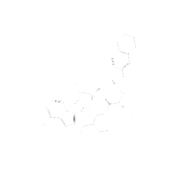 CCC(CC)COC(=O)[C@H](C)NP(=O)(OC[C@H]1O[C@@](C)(c2ccc3c(N)ncnn23)[C@H](O)[C@@H]1O)Oc1ccc2c(c1)CCCC2